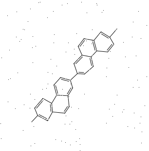 Cc1ccc2c(ccc3cc(-c4ccc5c(ccc6cc(C)ccc65)c4)ccc32)c1